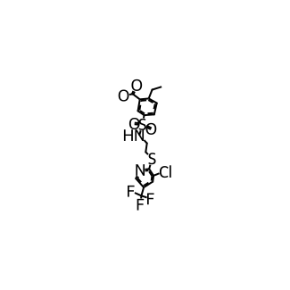 CCc1ccc(S(=O)(=O)NCCSc2ncc(C(F)(F)F)cc2Cl)cc1C(=O)OC